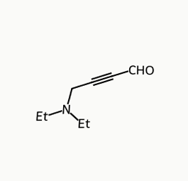 CCN(CC)CC#CC=O